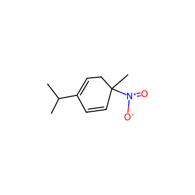 CC(C)C1=CCC(C)([N+](=O)[O-])C=C1